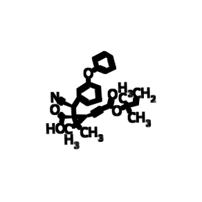 C=CC(C)(C)OC(=O)C#C[C@H]1C(C)(C)[C@]1(C(=O)O)[C@@H](C#N)c1cccc(Oc2ccccc2)c1